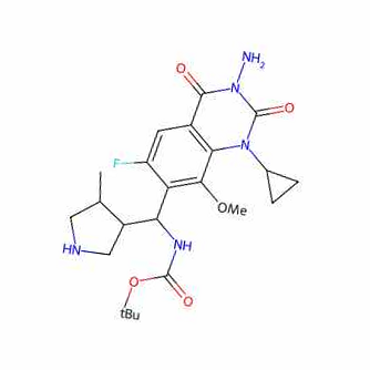 COc1c(C(NC(=O)OC(C)(C)C)C2CNCC2C)c(F)cc2c(=O)n(N)c(=O)n(C3CC3)c12